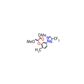 CO/C=C(\Oc1cc(-n2ncc(C(F)(F)F)n2)ccc1C)C(=O)OC